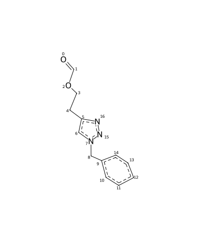 O=COCCc1cn(Cc2ccccc2)nn1